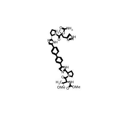 COC(=O)N[C@H](C(=O)N1CCCC1c1ncc(-c2ccc(-c3ccc(-c4cnc([C@@H]5CCCN5C(=O)[C@](C)(Cc5c[nH]nn5)OC(N)=O)[nH]4)cc3)cc2)[nH]1)[C@@H](C)OC